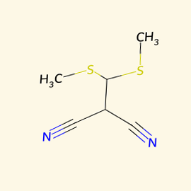 CSC(SC)C(C#N)C#N